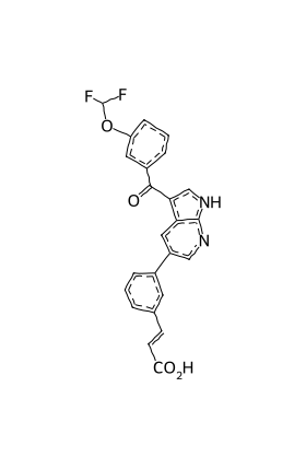 O=C(O)C=Cc1cccc(-c2cnc3[nH]cc(C(=O)c4cccc(OC(F)F)c4)c3c2)c1